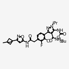 CC(C)n1nc(-c2ccc(CC(=O)Nc3cc(C45CC(C)(C4)C5)no3)c(F)c2Cl)c(C(N)=O)c1NC(=O)OC(C)(C)C